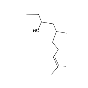 CCC(O)CC(C)CCC=C(C)C